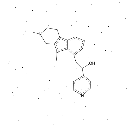 CN1CCc2c(n(C)c3c(CC(O)c4ccncc4)cccc23)C1